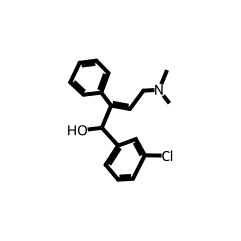 CN(C)C/C=C(\c1ccccc1)C(O)c1cccc(Cl)c1